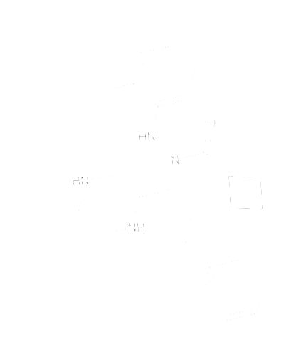 Cc1ccccc1NN(C(=O)C1CCC1)C(CCc1ccccc1)C1CNCCN1